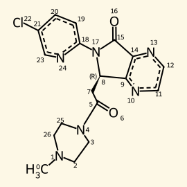 CN1CCN(C(=O)C[C@@H]2c3nccnc3C(=O)N2c2ccc(Cl)cn2)CC1